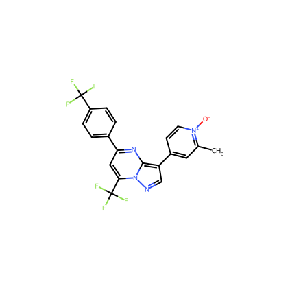 Cc1cc(-c2cnn3c(C(F)(F)F)cc(-c4ccc(C(F)(F)F)cc4)nc23)cc[n+]1[O-]